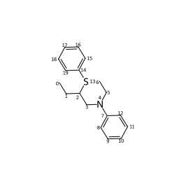 CCC(CN(CC)c1ccccc1)Sc1ccccc1